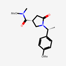 COc1ccc([C@@H](C)N2C[C@H](C(=O)N(C)OC)CC2=O)cc1